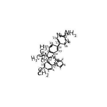 COc1ccc(-n2cccn2)c(-c2nc3cc(-c4cnc(N)nc4)ccc3n2C(C)(C)C)c1